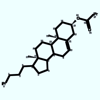 CC(C)CCCC1CCC2C3CC=C4C[C@@H](OC(=O)C(C)C)CC[C@]4(C)C3CC[C@]12C